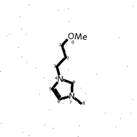 COCCCN1C=CN(C)C1